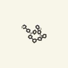 c1ccc(N(c2ccc(-c3cccnc3)cc2)c2cccc(-c3cccc(-c4ccc5c6ccccc6n(-c6ccc7c(c6)oc6ccccc67)c5c4)c3)c2)cc1